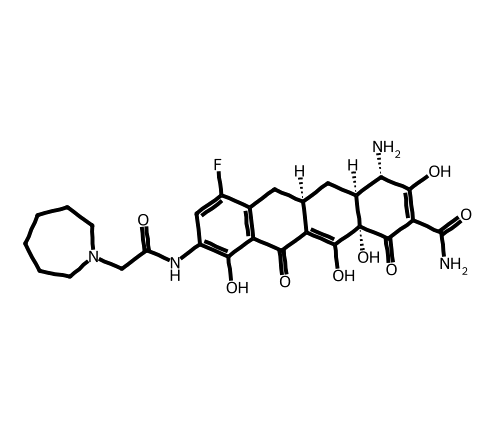 NC(=O)C1=C(O)[C@@H](N)[C@@H]2C[C@@H]3Cc4c(F)cc(NC(=O)CN5CCCCCC5)c(O)c4C(=O)C3=C(O)[C@]2(O)C1=O